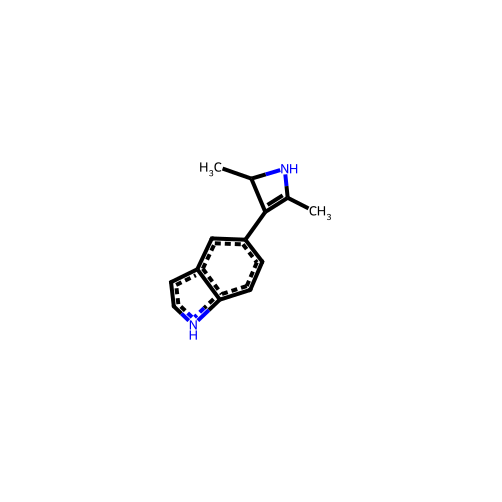 CC1=C(c2ccc3[nH]ccc3c2)C(C)N1